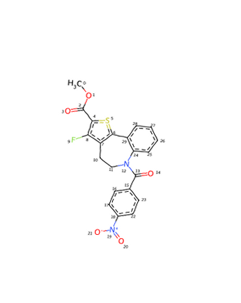 COC(=O)c1sc2c(c1F)CCN(C(=O)c1ccc([N+](=O)[O-])cc1)c1ccccc1-2